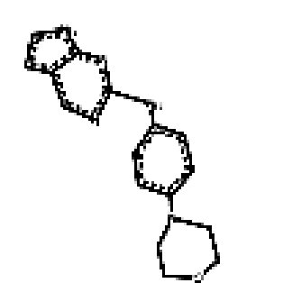 c1cc2cnc(Nc3ccc(N4CCOCC4)cc3)nc2[nH]1